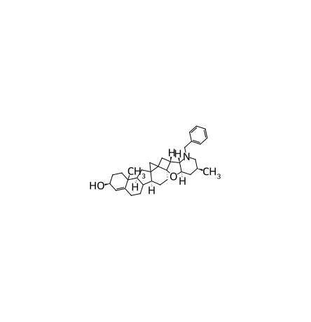 C[C@H]1C[C@H]2O[C@@]34CC[C@H]5C6CCC7=C[C@@H](O)CCC7(C)[C@H]6CC56CC63C[C@@H]4[C@@H]2N(Cc2ccccc2)C1